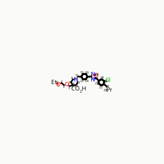 CCOCCOCC1(C(=O)O)CCN(Cc2ccc(-c3noc(-c4ccc(CC(C)C)c(Cl)c4)n3)cc2)CC1